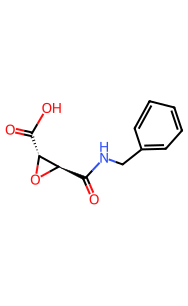 O=C(O)[C@H]1O[C@@H]1C(=O)NCc1ccccc1